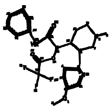 COc1ccc(C2CN(C)CCC2N(OC(=O)C(F)(F)F)C(=O)Nc2ccccc2)nc1